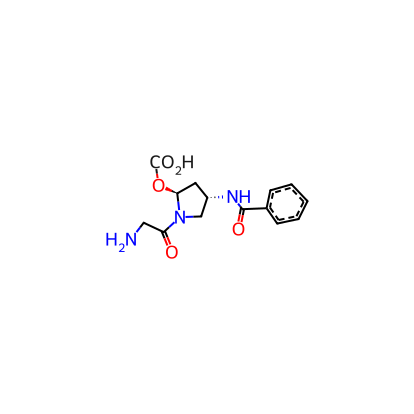 NCC(=O)N1C[C@@H](NC(=O)c2ccccc2)C[C@@H]1OC(=O)O